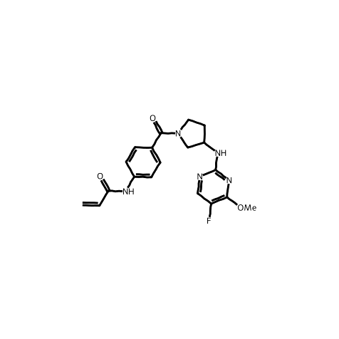 C=CC(=O)Nc1ccc(C(=O)N2CCC(Nc3ncc(F)c(OC)n3)C2)cc1